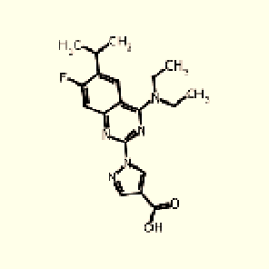 CCN(CC)c1nc(-n2cc(C(=O)O)cn2)nc2cc(F)c(C(C)C)cc12